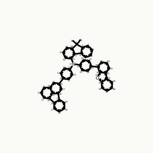 CC1(C)c2ccccc2-c2c(N(c3ccc(-c4cc5c6c(cccc6c4)-c4ccccc4-5)cc3)c3ccc(-c4cccc5c4oc4ccccc45)cc3)cccc21